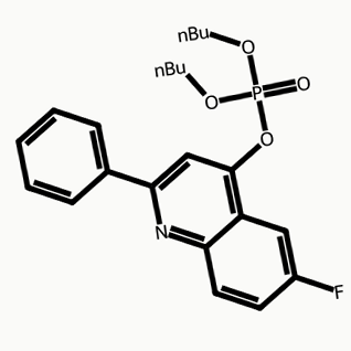 CCCCOP(=O)(OCCCC)Oc1cc(-c2ccccc2)nc2ccc(F)cc12